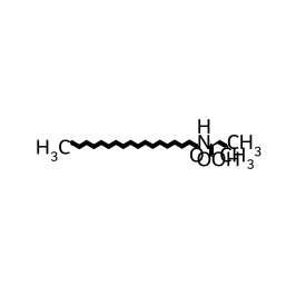 CCCCCCCCCCCCCCCCCCC(=O)N[C@@H](CC(C)C)C(=O)O